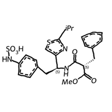 COC(=O)[C@@H](Cc1ccccc1)C(=O)N[C@@H](Cc1ccc(NS(=O)(=O)O)cc1)c1csc(C(C)C)n1